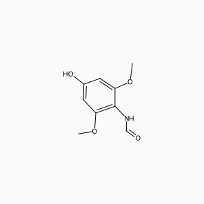 COc1cc(O)cc(OC)c1NC=O